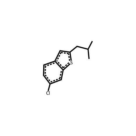 CC(C)Cc1cc2ccc(Cl)cc2s1